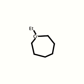 C[CH2][Cr]1[CH2]CCCC[CH2]1